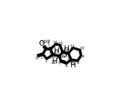 C=C1C[C@H]2[C@@H]3C=C[C@@H]4CCCC[C@]4(C)[C@H]3CC[C@]2(C)C1=O